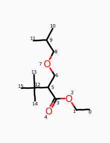 CCOC(=O)C(COCC(C)C)C(C)(C)C